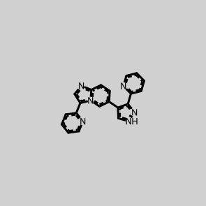 c1ccc(-c2n[nH]cc2-c2ccc3ncc(-c4ccccn4)n3c2)nc1